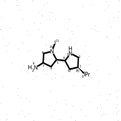 CC(C)[C@@H]1CNC(C2CC(N)CN2I)C1